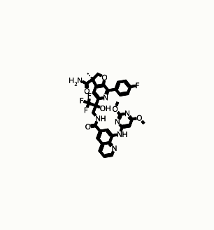 COc1cc(Nc2cc(C(=O)NCC(O)(c3cc4c(c(-c5ccc(F)cc5)n3)OC[C@]4(C)C(N)=O)C(F)(F)F)cc3cccnc23)nc(OC)n1